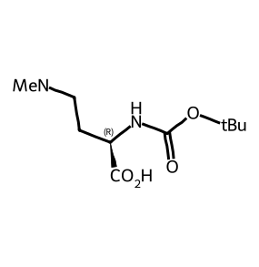 CNCC[C@@H](NC(=O)OC(C)(C)C)C(=O)O